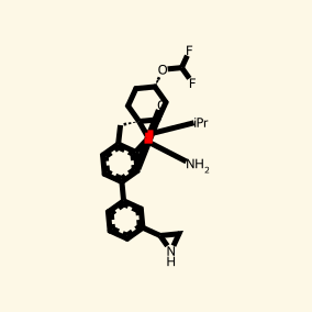 CC(C)N1C(=O)C2(N=C1N)c1cc(-c3cccc(C4CN4)c3)ccc1C[C@]21CC[C@@H](OC(F)F)CC1